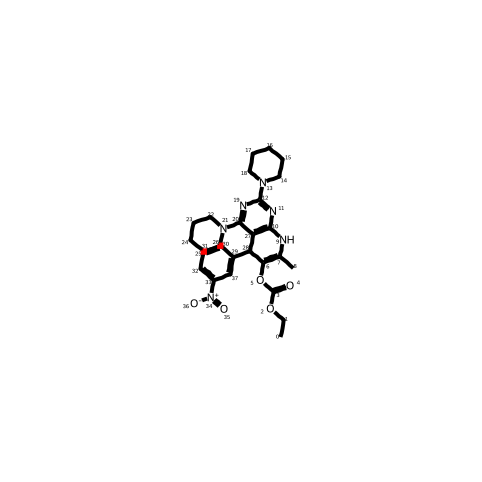 CCOC(=O)OC1=C(C)Nc2nc(N3CCCCC3)nc(N3CCCCC3)c2C1c1cccc([N+](=O)[O-])c1